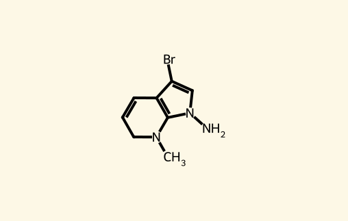 CN1CC=Cc2c(Br)cn(N)c21